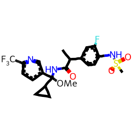 COC(NC(=O)C(C)c1ccc(NS(C)(=O)=O)c(F)c1)(c1ccc(C(F)(F)F)nc1)C1CC1